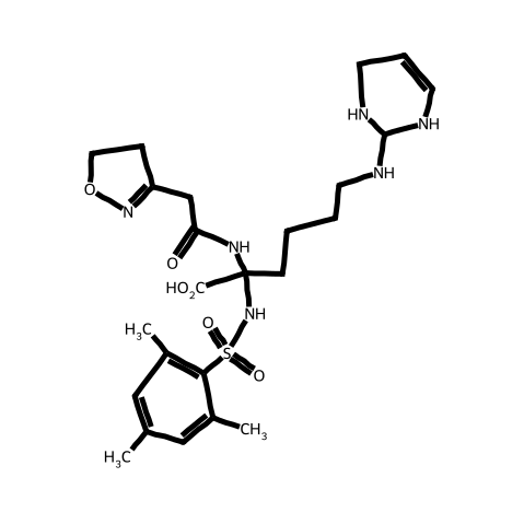 Cc1cc(C)c(S(=O)(=O)NC(CCCCNC2NC=CCN2)(NC(=O)CC2=NOCC2)C(=O)O)c(C)c1